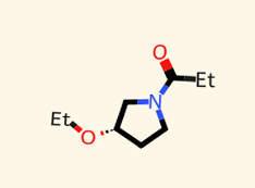 CCO[C@H]1CCN(C(=O)CC)C1